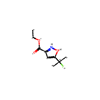 CCOC(=O)c1cc(C(C)(C)F)on1